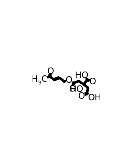 CC(=O)C=CCOC(=O)CC(O)(CC(=O)O)C(=O)O